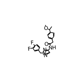 COC(C)c1ccc(CC(=O)Nc2cnn(Cc3ccc(F)c(F)c3)n2)cc1